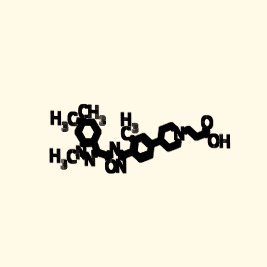 Cc1cc(C2CCN(CCC(=O)O)CC2)ccc1-c1noc(-c2nn(C)c3c2CCC(C)(C)C3)n1